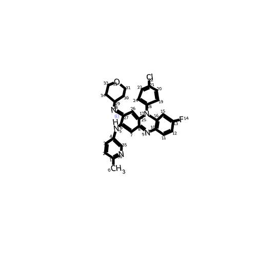 Cc1ccc(Nc2cc3nc4ccc(F)cc4n(-c4ccc(Cl)cc4)c-3c/c2=N\C2CCOCC2)cn1